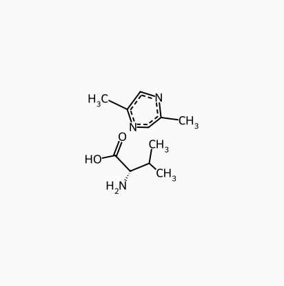 CC(C)[C@H](N)C(=O)O.Cc1cnc(C)cn1